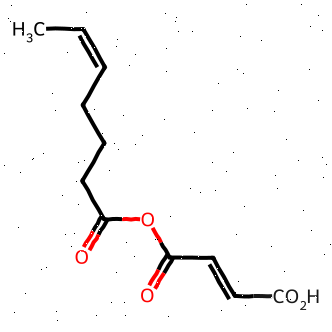 C/C=C\CCCC(=O)OC(=O)/C=C/C(=O)O